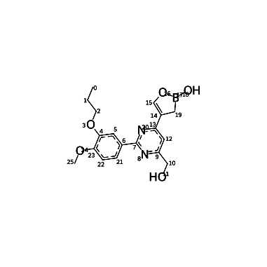 CCCOc1cc(-c2nc(CO)cc(C3=COB(O)C3)n2)ccc1OC